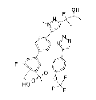 CC(O)C(F)(F)c1cc(-c2ccc(-c3cc(F)c(CO)c(S(C)(=O)=O)c3)cc2-n2nncc2-c2ccc(OC(F)(F)F)cc2)n(C)n1